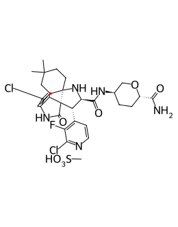 CC1(C)CCC2(CC1)N[C@@H](C(=O)N[C@@H]1CC[C@@H](C(N)=O)OC1)[C@H](c1ccnc(Cl)c1F)[C@]21C(=O)Nc2cc(Cl)ccc21.CS(=O)(=O)O